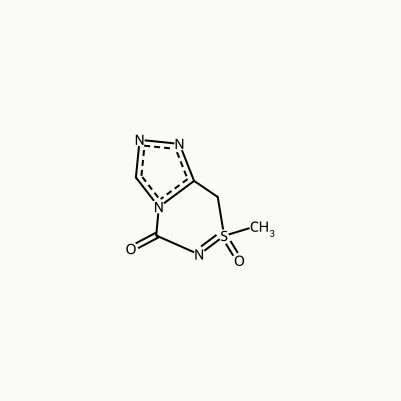 CS1(=O)=NC(=O)n2cnnc2C1